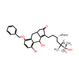 CCCCC[C@@H](CCC1=C2C(CC1=O)Cc1c(OCc3ccccc3)ccc(Br)c1C2O)CC(C)(C)[Si](C)(C)O